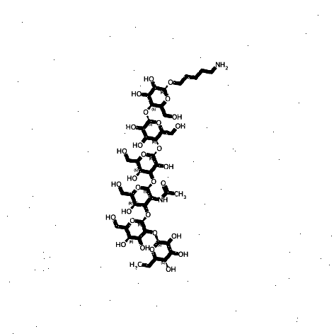 CCC1O[C@@H](OC2C(O)[C@@H](O)C(CO)O[C@H]2OC2C(NC(C)=O)[C@H](OC3C(O)[C@@H](O[C@H]4C(CO)O[C@@H](O[C@@H]5C(CO)O[C@@H](OCCCCCN)C(O)C5O)C(O)C4O)OC(CO)[C@@H]3O)OC(CO)[C@@H]2O)C(O)C(O)[C@@H]1O